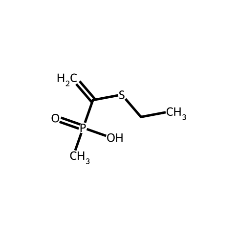 C=C(SCC)P(C)(=O)O